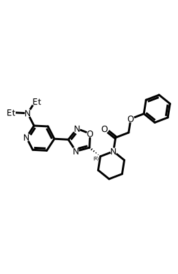 CCN(CC)c1cc(-c2noc([C@H]3CCCCN3C(=O)COc3ccccc3)n2)ccn1